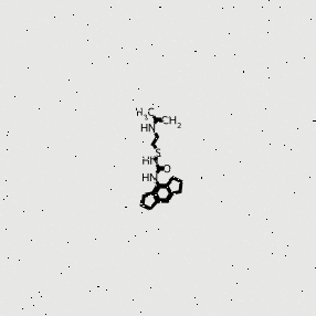 C=C(C)NCCSNC(=O)Nc1c2c(cc3c1CCC3)CCC2